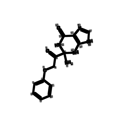 NC1(C(=O)COc2ccccc2)NC(=O)c2nc[nH]c2N1